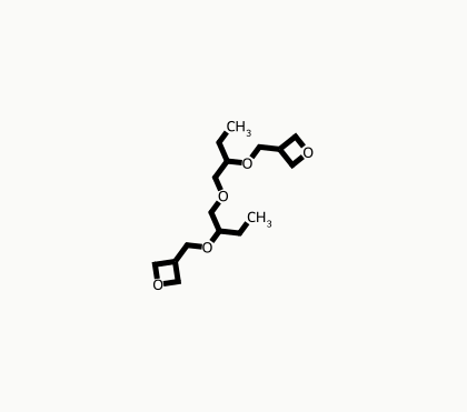 CCC(COCC(CC)OCC1COC1)OCC1COC1